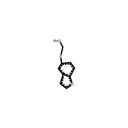 COCOc1ccc2occc2c1